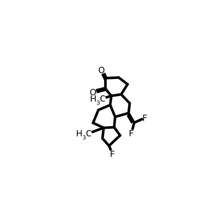 CC12CCC3C(C(=C(F)F)CC4CCC(=O)C(=O)C43C)C1CC(F)C2